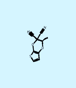 CC1Oc2ccsc2OC1(C#N)C#N